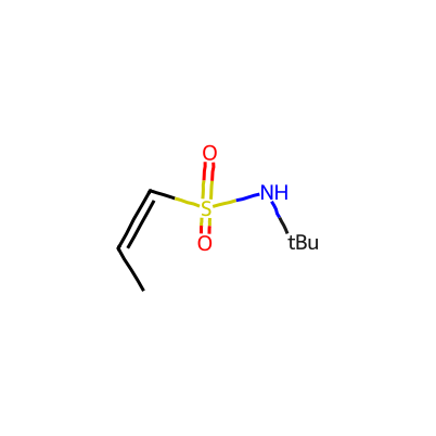 C/C=C\S(=O)(=O)NC(C)(C)C